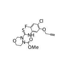 C#CCOc1cc(NC(=S)N2COCCN2C(=O)OC)c(F)cc1Cl